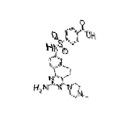 CN1CCN(c2nc(N)nc3c2CCc2cc(NS(=O)(=O)c4ccc(C(=O)O)cc4)ccc2-3)CC1